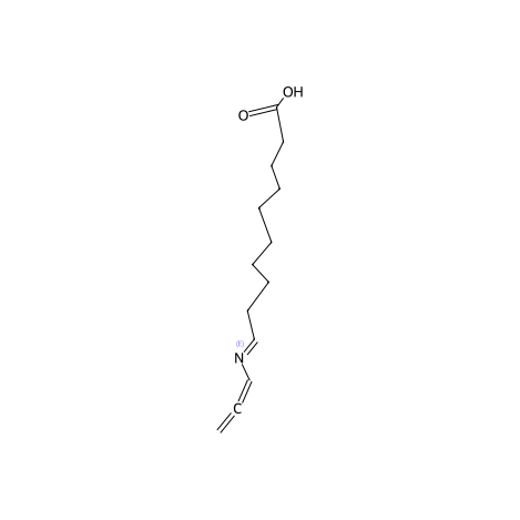 C=C=C/N=C/CCCCCCCCC(=O)O